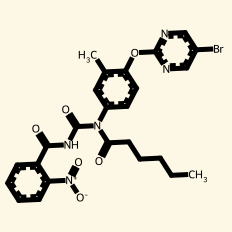 CCCCCC(=O)N(C(=O)NC(=O)c1ccccc1[N+](=O)[O-])c1ccc(Oc2ncc(Br)cn2)c(C)c1